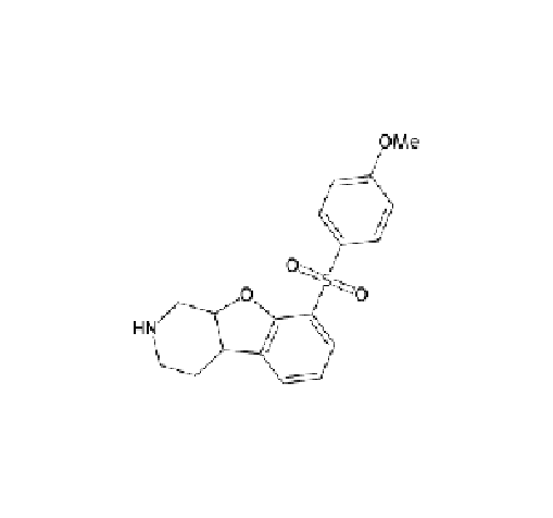 COc1ccc(S(=O)(=O)c2cccc3c2OC2CNCCC32)cc1